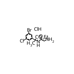 CCOC(=O)C(C)(NC(=O)CN)c1cc(Cl)cc(Br)c1.Cl